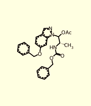 CC(=O)OC([C@H](C)NC(=O)OCc1ccccc1)n1ncc2ccc(OCc3ccccc3)cc21